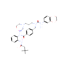 CC(C)(C)CC(=O)Nc1ccccc1NC(=O)c1ccc(CN(CCCN2CCOCC2)C(=O)Nc2ccc3c(c2)OCCO3)cc1